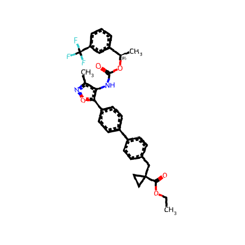 CCOC(=O)C1(Cc2ccc(-c3ccc(-c4onc(C)c4NC(=O)O[C@H](C)c4cccc(C(F)(F)F)c4)cc3)cc2)CC1